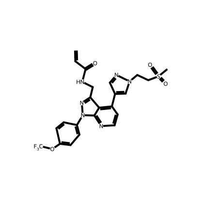 C=CC(=O)NCc1nn(-c2ccc(OC(F)(F)F)cc2)c2nccc(-c3cnn(CCS(C)(=O)=O)c3)c12